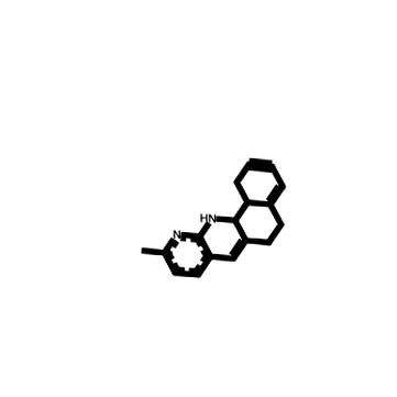 Cc1ccc2c(n1)NC1C(=C2)CCC2=CC#CCC21